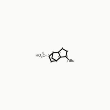 CC(C)(C)C1CCC2C1C1CC2[C@@H](C(=O)O)C1